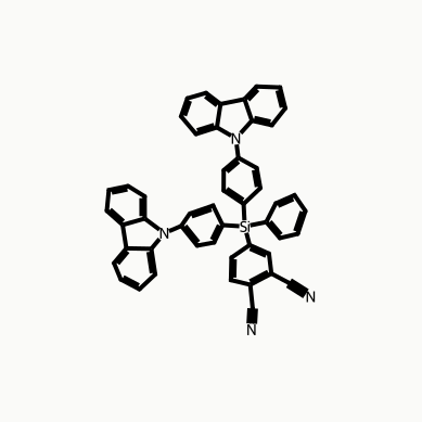 N#Cc1ccc([Si](c2ccccc2)(c2ccc(-n3c4ccccc4c4ccccc43)cc2)c2ccc(-n3c4ccccc4c4ccccc43)cc2)cc1C#N